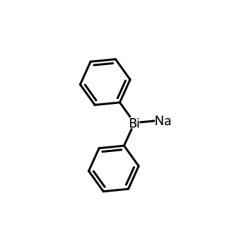 [Na][Bi]([c]1ccccc1)[c]1ccccc1